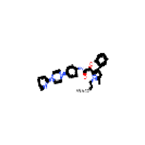 COCCn1c(C)cc(-c2ccccc2)c1C(=O)C(=O)Nc1ccc(N2CCN(c3ccccn3)CC2)cc1